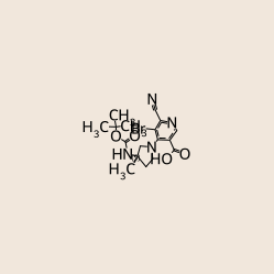 CC(C)(C)OC(=O)N[C@@]1(C)CCN(c2c(C(=O)O)cnc(C#N)c2Br)C1